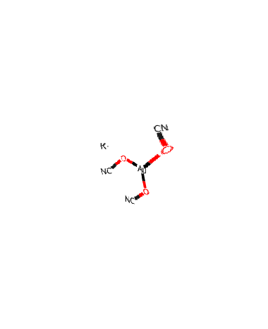 N#C[O][Au]([O]C#N)[O]C#N.[K]